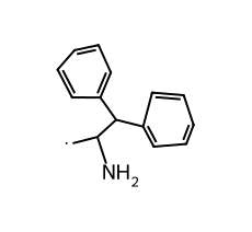 [CH2]C(N)C(c1ccccc1)c1ccccc1